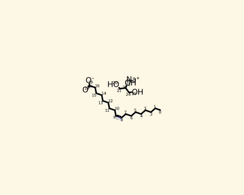 CCCCCCCC/C=C\CCCCCCCC(=O)[O-].OCC(O)CO.[Na+]